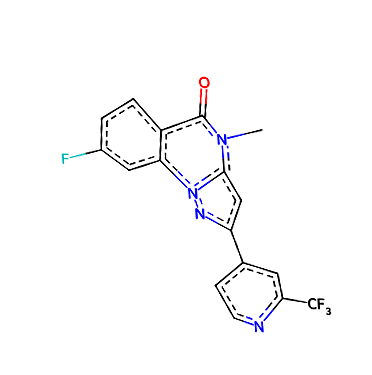 Cn1c(=O)c2ccc(F)cc2n2nc(-c3ccnc(C(F)(F)F)c3)cc12